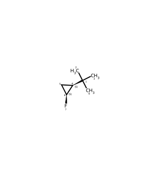 CC(C)(C)[C@@H]1C[C@@H]1F